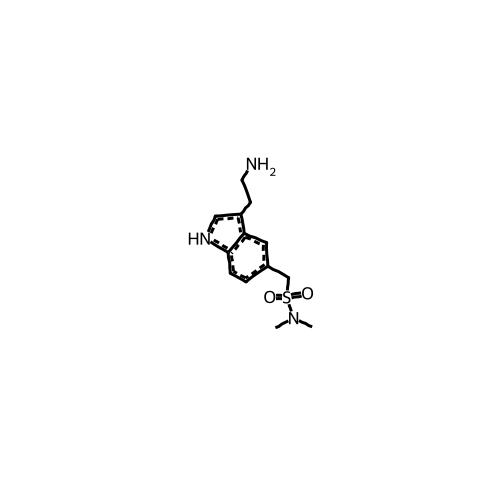 CN(C)S(=O)(=O)Cc1ccc2[nH]cc(CCN)c2c1